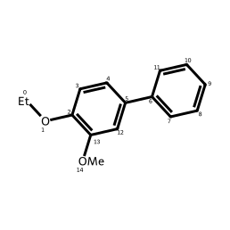 CCOc1ccc(-c2ccccc2)cc1OC